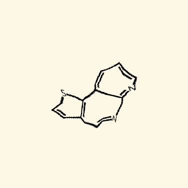 c1cnc2ncc3ccsc3c2c1